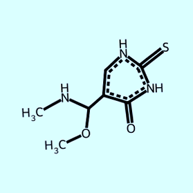 CNC(OC)c1c[nH]c(=S)[nH]c1=O